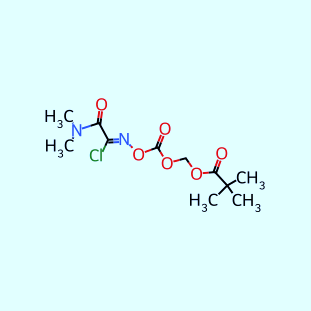 CN(C)C(=O)C(Cl)=NOC(=O)OCOC(=O)C(C)(C)C